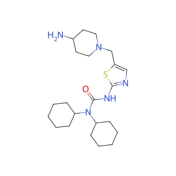 NC1CCN(Cc2cnc(NC(=O)N(C3CCCCC3)C3CCCCC3)s2)CC1